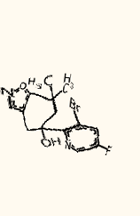 CC1(C)CC(O)(c2ncc(F)cc2Br)Cc2cnoc21